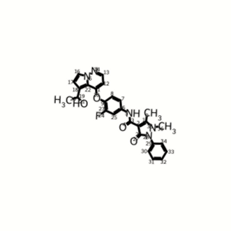 Cc1c(C(=O)Nc2ccc(Oc3ccnn4ccc(C(C)O)c34)c(F)c2)c(=O)n(-c2ccccc2)n1C